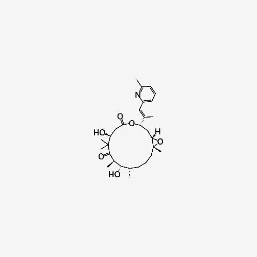 C/C(=C\c1cccc(C)n1)[C@@H]1C[C@@H]2O[C@]2(C)CCC[C@H](C)[C@H](O)[C@@H](C)C(=O)C(C)(C)[C@@H](O)CC(=O)O1